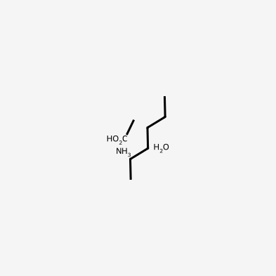 CC(=O)O.CCCCCC.N.O